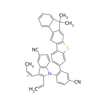 C=Cc1c(/C=C\C)c2cc(C#N)ccc2n1-c1ccc(C#N)cc1-c1ccc2c(c1)sc1cc3c(cc12)-c1ccccc1C3(C)C